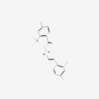 Cc1ccc(/C=C/S(=O)(=O)NC(=O)c2ccc(F)cc2C(F)(F)F)c(C)c1